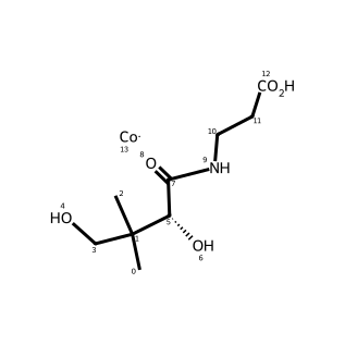 CC(C)(CO)[C@@H](O)C(=O)NCCC(=O)O.[Co]